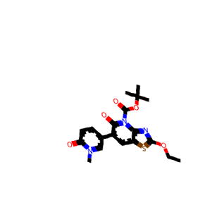 CCOc1nc2c(cc(-c3ccc(=O)n(C)c3)c(=O)n2C(=O)OC(C)(C)C)s1